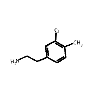 Cc1ccc(CCN)cc1Cl